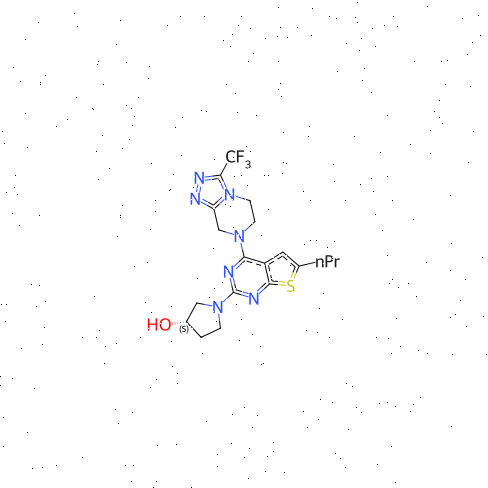 CCCc1cc2c(N3CCn4c(nnc4C(F)(F)F)C3)nc(N3CC[C@H](O)C3)nc2s1